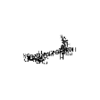 CC1(C)C(NC(=O)c2ccc(N3CCN(CCOCC(=O)N[C@H](C(=O)N4C[C@H](O)C[C@H]4C(=O)NCc4cc(F)ccc4F)C(C)(C)C)CC3)nc2)C(C)(C)C1Oc1ccc(C#N)c(Cl)c1